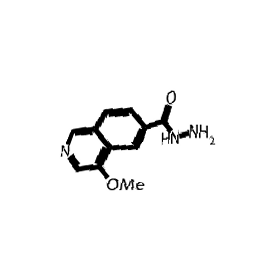 COc1cncc2ccc(C(=O)NN)cc12